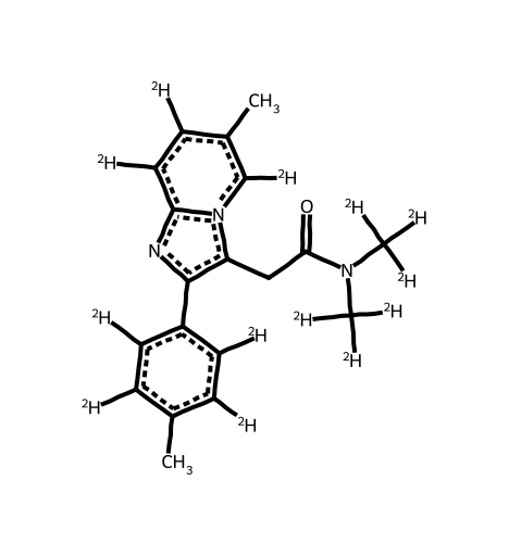 [2H]c1c([2H])c(-c2nc3c([2H])c([2H])c(C)c([2H])n3c2CC(=O)N(C([2H])([2H])[2H])C([2H])([2H])[2H])c([2H])c([2H])c1C